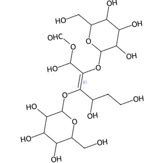 O=COC(O)/C(OC1OC(CO)C(O)C(O)C1O)=C(\OC1OC(CO)C(O)C(O)C1O)C(O)CCO